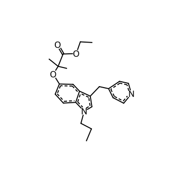 CCCn1cc(Cc2ccncc2)c2cc(OC(C)(C)C(=O)OCC)ccc21